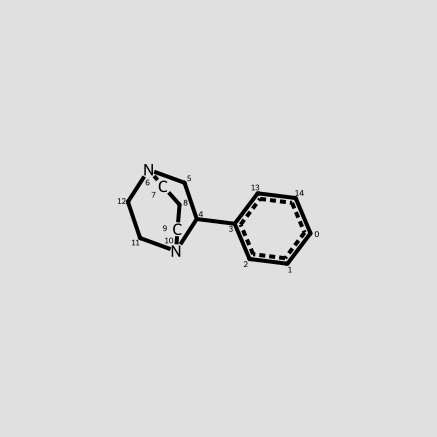 c1ccc(C2CN3CCCN2CC3)cc1